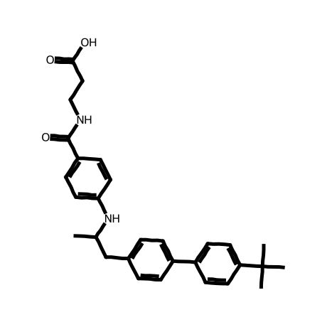 CC(Cc1ccc(-c2ccc(C(C)(C)C)cc2)cc1)Nc1ccc(C(=O)NCCC(=O)O)cc1